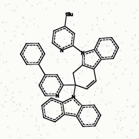 CC(C)(C)c1ccnc(-n2c3c(c4ccccc42)C=CC(c2cc(-c4ccccc4)ccn2)(n2c4ccccc4c4ccccc42)C3)c1